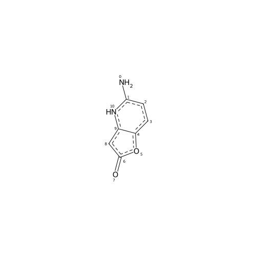 Nc1ccc2oc(=O)cc-2[nH]1